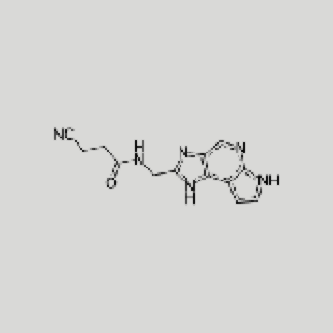 N#CCCC(=O)NCc1nc2cnc3[nH]ccc3c2[nH]1